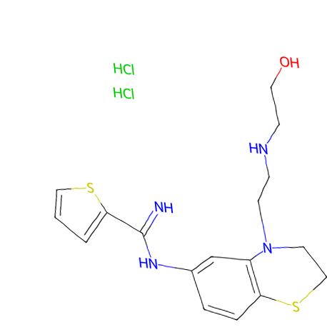 Cl.Cl.N=C(Nc1ccc2c(c1)N(CCNCCO)CCS2)c1cccs1